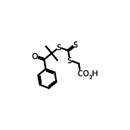 CC(C)(SC(=S)SCC(=O)O)C(=O)c1ccccc1